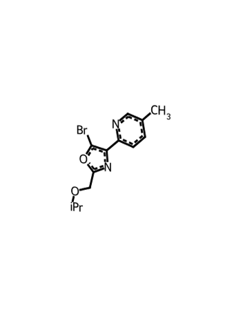 Cc1ccc(-c2nc(COC(C)C)oc2Br)nc1